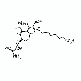 COc1c(OCCCCCCC(=O)O)cc2c(c1OC)C1=C(CCC1)/C(=N/NC(=N)N)CC2